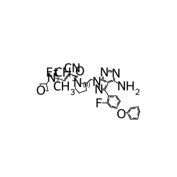 CCN(C1COC1)C(C)(C)C=C(C#N)C(=O)N1CCC[C@@H]1Cn1nc(-c2ccc(Oc3ccccc3)cc2F)c2c(N)ncnc21